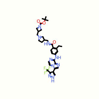 CCc1cc(Nc2nccn3c(-c4c[nH]nc4C(F)(F)F)cnc23)ccc1C(=O)NCC1CCN(CC2CN(C(=O)OC(C)(C)C)C2)C1